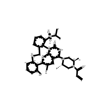 C=CC(=O)N1C[C@H](C)N(c2nc(=O)n(-c3c(CC)cccc3S(=O)(=O)C(C)C)c3nc(-c4c(O)cccc4F)c(F)cc23)C[C@H]1C